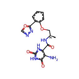 C[C@H](COc1ccccc1-c1nnco1)NC(=O)c1[nH]c(=O)[nH]c(=O)c1N